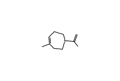 C=C(C)N1CCC=C(C)CC1